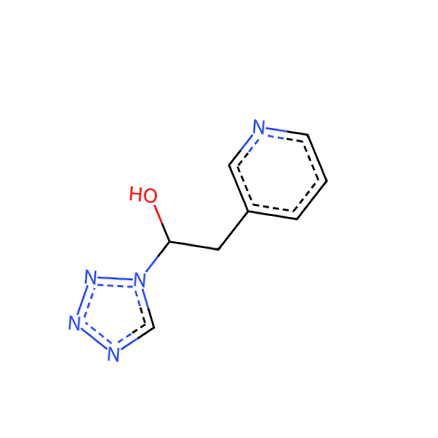 OC(Cc1cccnc1)n1cnnn1